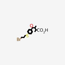 CC(C(=O)O)C(C)C(=O)c1ccc(SCCCBr)cc1